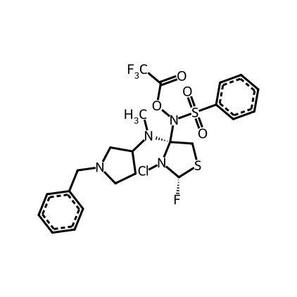 CN(C1CCN(Cc2ccccc2)C1)[C@]1(N(OC(=O)C(F)(F)F)S(=O)(=O)c2ccccc2)CS[C@H](F)N1Cl